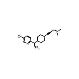 CN(C)CC#CC1CCC(C(N)c2ccc(Cl)nn2)CC1